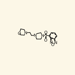 O=S(=O)(c1cccc2nonc12)N1CCN(CCN2CCOCC2)CC1